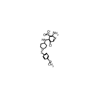 COc1ccc(SN2CCC(Nc3c(Cl)cnc(N)c3[N+](=O)[O-])CC2)cc1